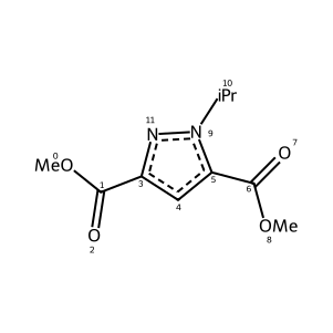 COC(=O)c1cc(C(=O)OC)n(C(C)C)n1